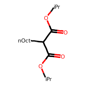 CCCCCCCCC(C(=O)OC(C)C)C(=O)OC(C)C